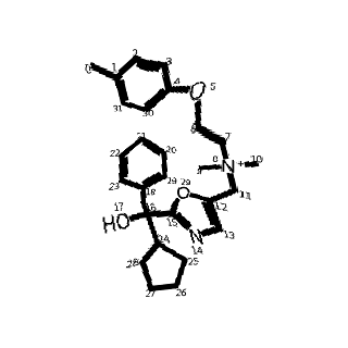 Cc1ccc(OCC[N+](C)(C)Cc2cnc(C(O)(c3ccccc3)C3CCCC3)o2)cc1